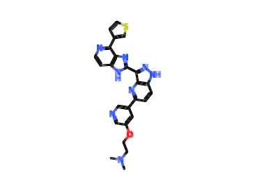 CN(C)CCOc1cncc(-c2ccc3[nH]nc(-c4nc5c(-c6ccsc6)nccc5[nH]4)c3n2)c1